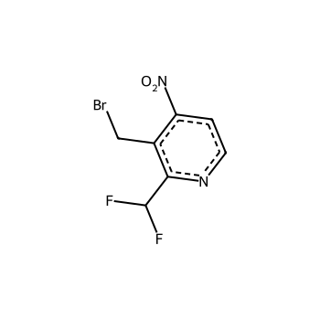 O=[N+]([O-])c1ccnc(C(F)F)c1CBr